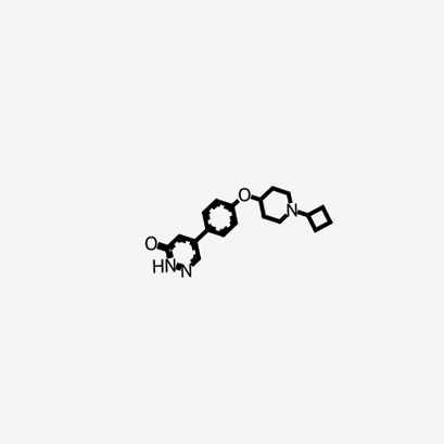 O=c1cc(-c2ccc(OC3CCN(C4CCC4)CC3)cc2)cn[nH]1